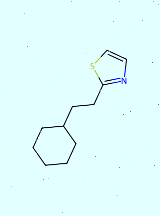 c1csc(CCC2CCCCC2)n1